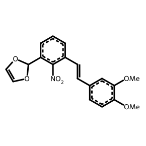 COc1ccc(C=Cc2cccc(C3OC=CO3)c2[N+](=O)[O-])cc1OC